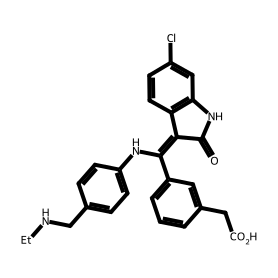 CCNCc1ccc(NC(=C2C(=O)Nc3cc(Cl)ccc32)c2cccc(CC(=O)O)c2)cc1